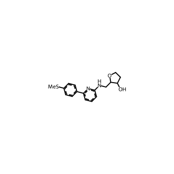 CSc1ccc(-c2cccc(NCC3OCCC3O)n2)cc1